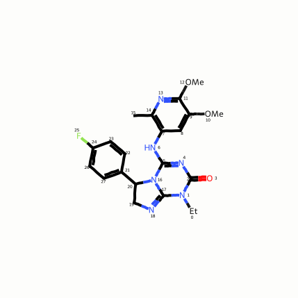 CCN1C(=O)N=C(Nc2cc(OC)c(OC)nc2C)N2C1=NCC2c1ccc(F)cc1